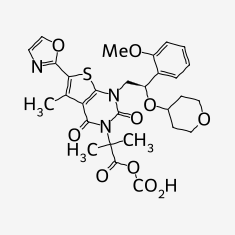 COc1ccccc1[C@H](Cn1c(=O)n(C(C)(C)C(=O)OC(=O)O)c(=O)c2c(C)c(-c3ncco3)sc21)OC1CCOCC1